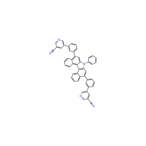 N#Cc1cncc(-c2cccc(-c3cc4c(c5ccccc35)c3c5ccccc5c(-c5cccc(-c6cncc(C#N)c6)c5)cc3n4-c3ccccc3)c2)c1